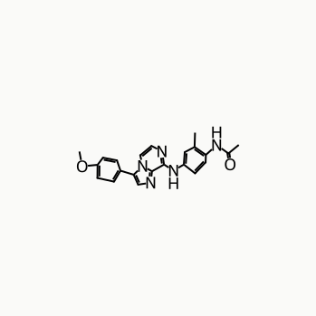 COc1ccc(-c2cnc3c(Nc4ccc(NC(C)=O)c(C)c4)nccn23)cc1